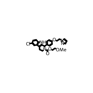 COCCOC(=O)N1CCc2c([nH]c3ccc(Cl)cc23)C1c1ccc(OCCn2cccn2)cc1